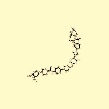 C[C@@H]1CN(CC2CCN(c3ccc(NC(=O)C4CCN(c5ccc(C#N)c(C(F)(F)F)c5)CC4)nc3)CC2)CCN1C1CN(c2ccc3c(c2)C(=O)N(C2CCC(=O)NC2=O)C3=O)C1